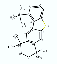 CC(C)(C)c1cccc2sc3cc4c(cc3c12)C(C)(C)CCC4(C)C